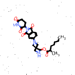 CCCCCC(C)C(=O)OC1NCC12CN(c1ccc3c(c1)C(=O)N(C1CCC(=O)NC1=O)C3=O)C2